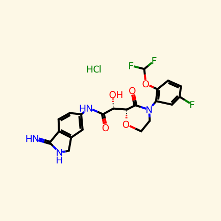 Cl.N=C1NCc2cc(NC(=O)[C@H](O)[C@H]3OCCN(c4cc(F)ccc4OC(F)F)C3=O)ccc21